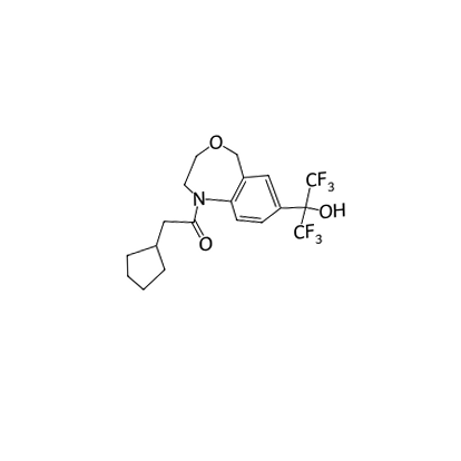 O=C(CC1CCCC1)N1CCOCc2cc(C(O)(C(F)(F)F)C(F)(F)F)ccc21